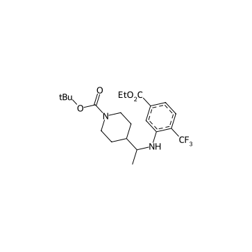 CCOC(=O)c1ccc(C(F)(F)F)c(NC(C)C2CCN(C(=O)OC(C)(C)C)CC2)c1